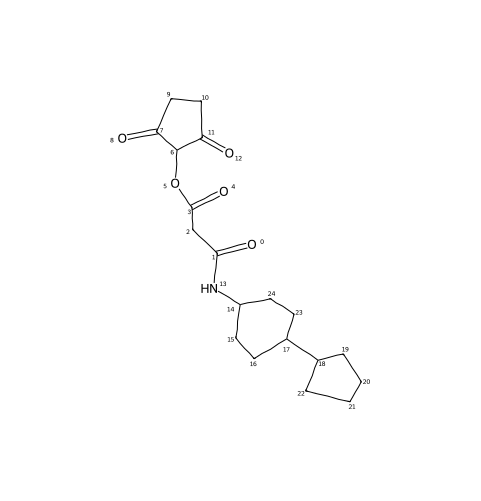 O=C(CC(=O)OC1C(=O)CCC1=O)NC1CCC(C2CCCC2)CC1